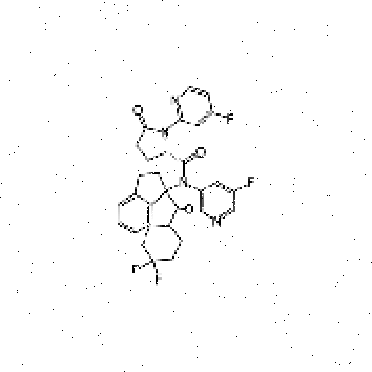 O=C1CC[C@@H](C(=O)N(c2cncc(F)c2)C2(C(=O)C3CCC(F)(F)CC3)CCc3ccccc32)N1c1cc(F)ccn1